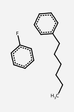 CCCCCCc1ccccc1.Fc1ccccc1